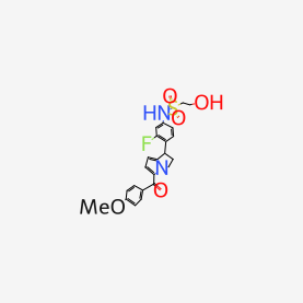 COc1ccc(C(=O)c2ccc3n2CCC3c2ccc(NS(=O)(=O)CCO)cc2F)cc1